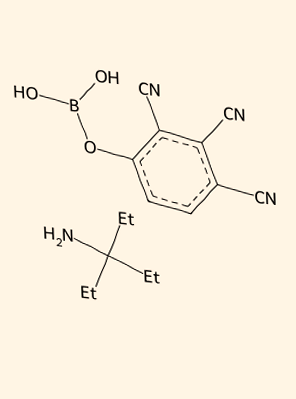 CCC(N)(CC)CC.N#Cc1ccc(OB(O)O)c(C#N)c1C#N